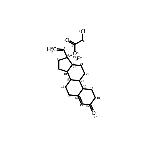 C=C[C@]1(OC(=O)CCl)CCC2C3CCC4=CC(=O)CCC4C3CC[C@@]21CC